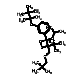 CC(C)OC1(c2cccc(O[Si](C)(C)C(C)(C)C)c2)OOC1(COCC(C)(C)C)C(C)(C)C